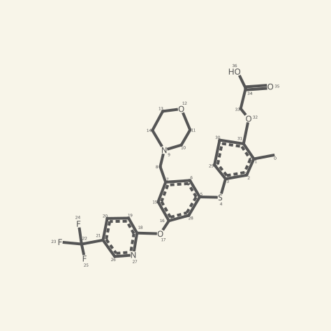 Cc1cc(Sc2cc(CN3CCOCC3)cc(Oc3ccc(C(F)(F)F)cn3)c2)ccc1OCC(=O)O